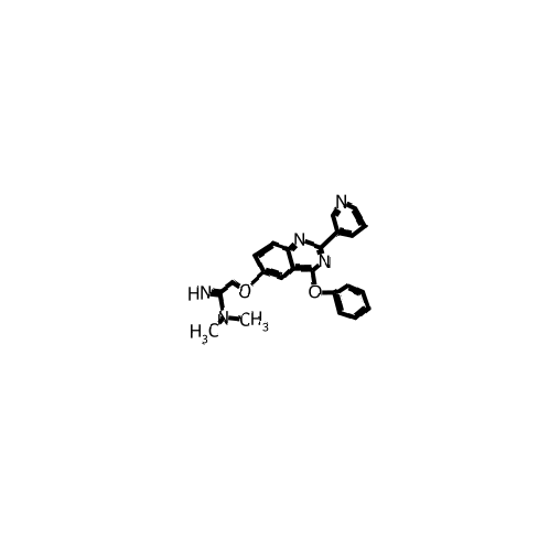 CN(C)C(=N)COc1ccc2nc(-c3cccnc3)nc(Oc3ccccc3)c2c1